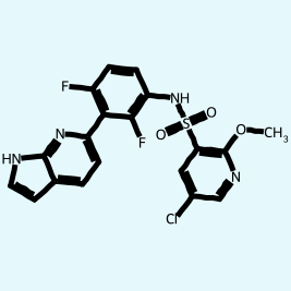 COc1ncc(Cl)cc1S(=O)(=O)Nc1ccc(F)c(-c2ccc3cc[nH]c3n2)c1F